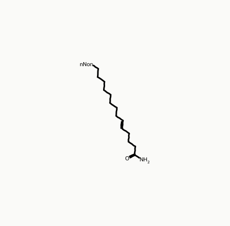 CCCCCCCCCCCCCCCCCC=CCCCC(N)=O